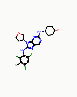 [2H]c1c(F)cc(F)c(Nc2nc3cnc(N[C@H]4CC[C@H](O)CC4)nc3n2[C@H]2CCOC2)c1F